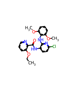 CCOc1cccnc1C(=O)Nc1ccc(Cl)nc1Nc1c(OC)cccc1OC